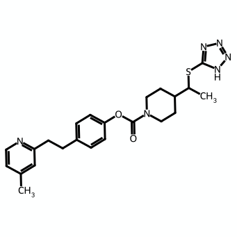 Cc1ccnc(CCc2ccc(OC(=O)N3CCC(C(C)Sc4nnn[nH]4)CC3)cc2)c1